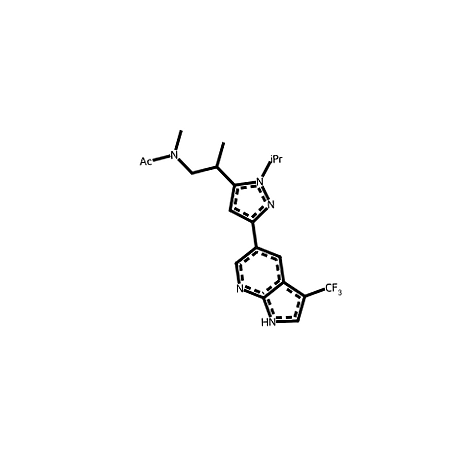 CC(=O)N(C)CC(C)c1cc(-c2cnc3[nH]cc(C(F)(F)F)c3c2)nn1C(C)C